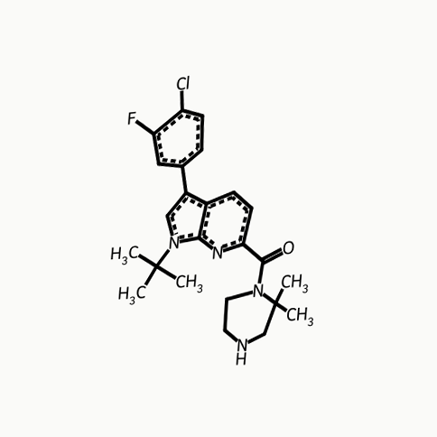 CC1(C)CNCCN1C(=O)c1ccc2c(-c3ccc(Cl)c(F)c3)cn(C(C)(C)C)c2n1